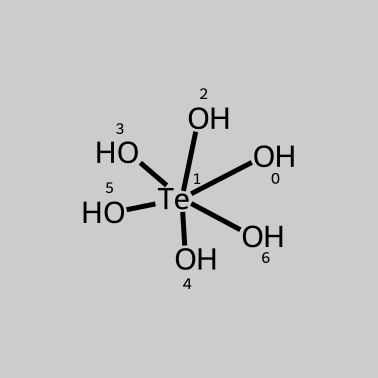 O[Te](O)(O)(O)(O)O